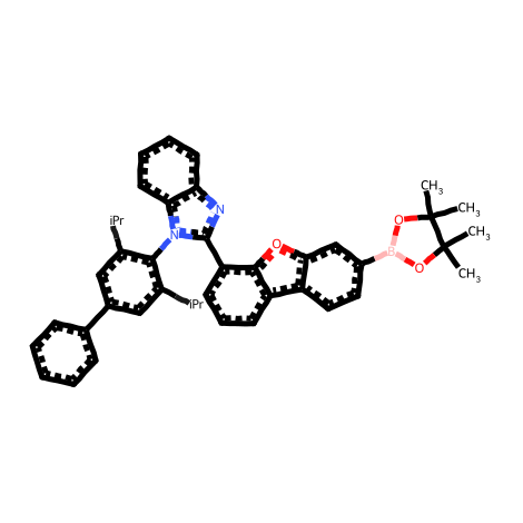 CC(C)c1cc(-c2ccccc2)cc(C(C)C)c1-n1c(-c2cccc3c2oc2cc(B4OC(C)(C)C(C)(C)O4)ccc23)nc2ccccc21